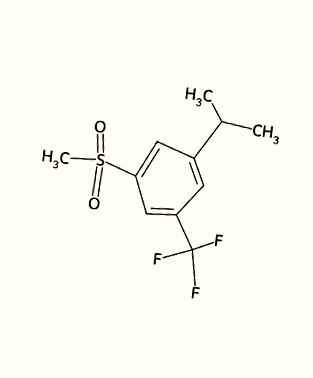 CC(C)c1cc(C(F)(F)F)cc(S(C)(=O)=O)c1